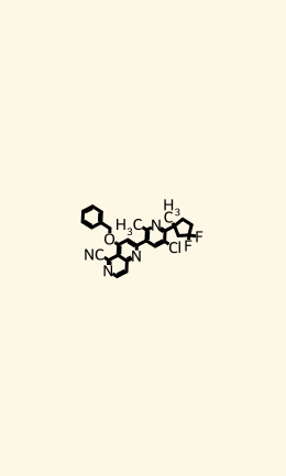 Cc1nc(C2(C)CCC(F)(F)C2)c(Cl)cc1-c1cc(OCc2ccccc2)c2c(C#N)nccc2n1